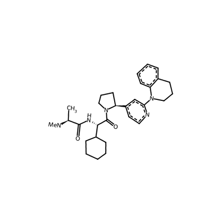 CN[C@@H](C)C(=O)N[C@H](C(=O)N1CCC[C@H]1c1ccnc(N2CCCc3ccccc32)c1)C1CCCCC1